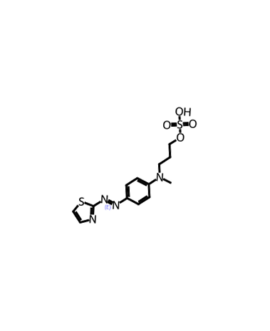 CN(CCCOS(=O)(=O)O)c1ccc(/N=N/c2nccs2)cc1